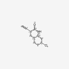 N#Cc1cc2ccc(Cl)cc2[nH]c1=O